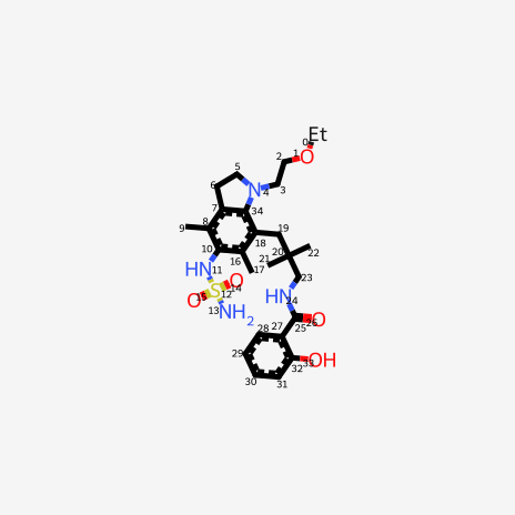 CCOCCN1CCc2c(C)c(NS(N)(=O)=O)c(C)c(CC(C)(C)CNC(=O)c3ccccc3O)c21